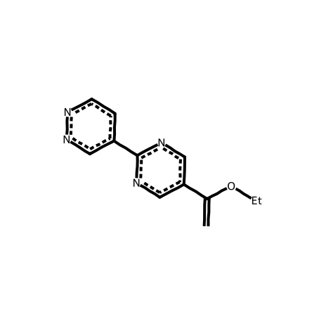 C=C(OCC)c1cnc(-c2ccnnc2)nc1